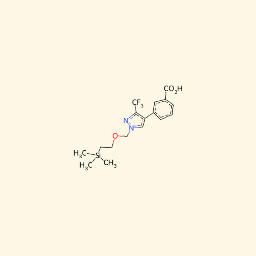 C[Si](C)(C)CCOCn1cc(-c2cccc(C(=O)O)c2)c(C(F)(F)F)n1